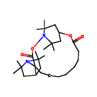 CC1(C)CC2CC(C)(C)N1OC(=O)C1(CCCCCCCC(=O)O2)C2CC(C)(C)N1C(C)(C)C2